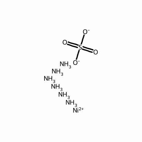 N.N.N.N.N.N.O=S(=O)([O-])[O-].[Ni+2]